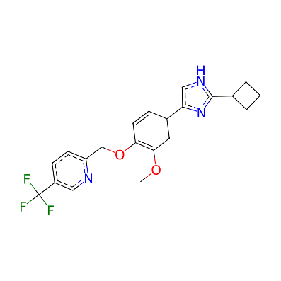 COC1=C(OCc2ccc(C(F)(F)F)cn2)C=CC(c2c[nH]c(C3CCC3)n2)C1